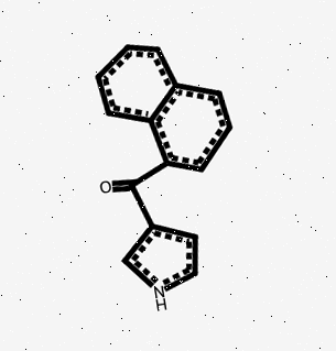 O=C(c1cc[nH]c1)c1cccc2ccccc12